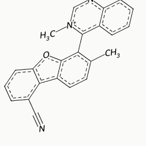 Cc1ccc2c(oc3cccc(C#N)c32)c1-c1c2ccccc2nc[n+]1C